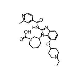 CCN1CCC(Oc2cccc3nc(NC(=O)c4ccnc(C)c4)n(C4CCCCN(C(=O)O)C4)c23)CC1